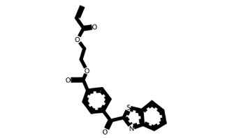 C=CC(=O)OCCOC(=O)c1ccc(C(=O)c2nc3ccccc3s2)cc1